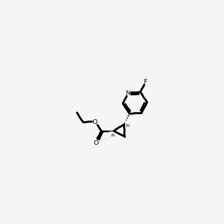 CCOC(=O)[C@@H]1C[C@H]1c1ccc(F)nc1